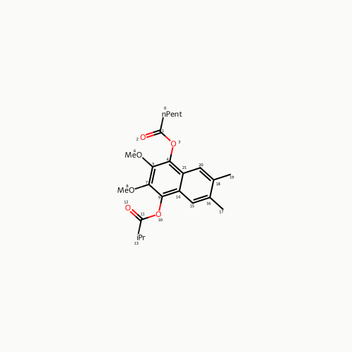 CCCCCC(=O)Oc1c(OC)c(OC)c(OC(=O)C(C)C)c2cc(C)c(C)cc12